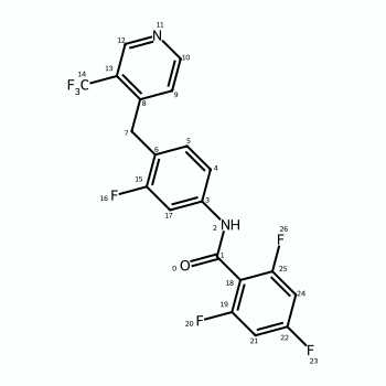 O=C(Nc1ccc(Cc2ccncc2C(F)(F)F)c(F)c1)c1c(F)cc(F)cc1F